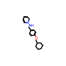 C1=CCN(NCc2ccc(OCC3CCCCC3)cc2)C=C1